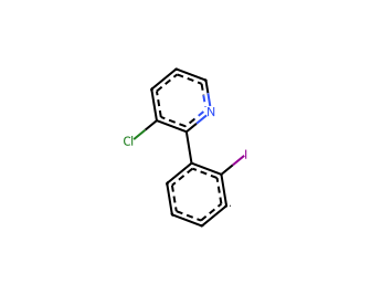 Clc1cccnc1-c1ccc[c]c1I